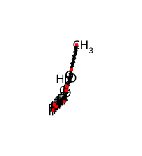 CCCCCCCCCCCCCCCCOC(=O)NCCCCCC(=O)OCCC(F)(F)C(F)(F)C(F)(F)C(F)(F)C(F)(F)C(F)(F)C(F)(F)C(F)(F)F